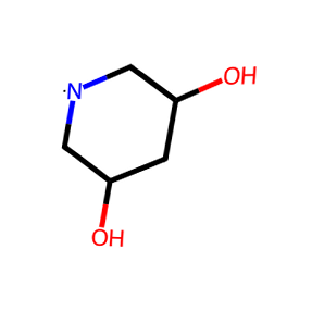 OC1C[N]CC(O)C1